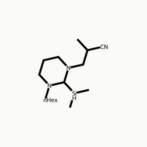 CCCCCCN1CCCN(CC(C)C#N)C1[SiH](C)C